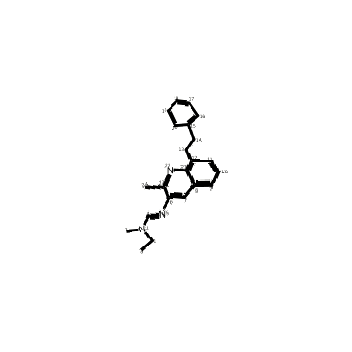 CCN(C)C=Nc1cc2cccc(CCc3ccccc3)c2nc1C